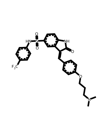 CN(C)CCCOc1ccc(C=C2C(=O)Nc3ccc(S(=O)(=O)Nc4ccc(C(F)(F)F)cc4)cc32)cc1